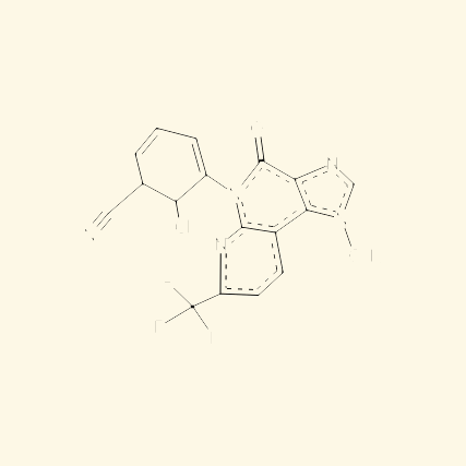 Cn1cnc2c(=O)n(C3=CC=CC(C#N)C3Cl)c3nc(C(F)(F)F)ccc3c21